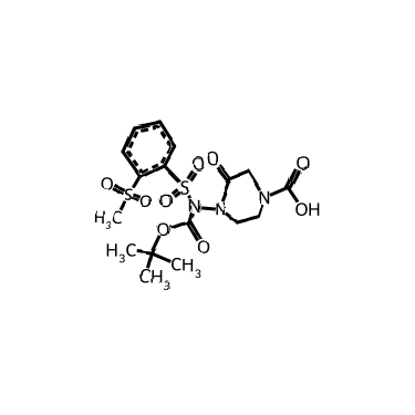 CC(C)(C)OC(=O)N(N1CCN(C(=O)O)CC1=O)S(=O)(=O)c1ccccc1S(C)(=O)=O